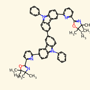 CC1(C)N=C(c2cccc(-c3ccc4c(c3)c3cc(-c5ccc6c(c5)c5cc(-c7cccc(C8=NC(C)(C)C(C)(C)O8)n7)ccc5n6-c5ccccc5)ccc3n4-c3ccccc3)n2)OC1(C)C